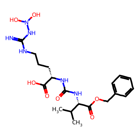 CC(C)[C@H](NC(=O)N[C@@H](CCCNC(=N)NN(O)O)C(=O)O)C(=O)OCc1ccccc1